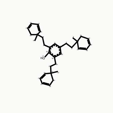 CC1(CCc2cc(CCC3(C)C=CC=CC3)c(O)c(CCC3(C)C=CC=CC3)c2)C=CC=CC1